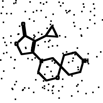 O=C1OCC(N2CCOC3(CCNCC3)C2)=C1C1CC1